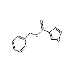 O=C(OCc1ccccc1)c1ccoc1